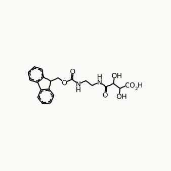 O=C(NCCNC(=O)C(O)C(O)C(=O)O)OCC1c2ccccc2-c2ccccc21